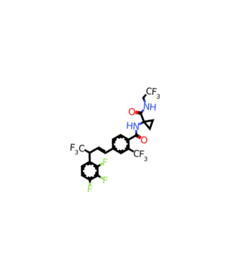 O=C(NC1(C(=O)NCC(F)(F)F)CC1)c1ccc(/C=C/C(c2ccc(F)c(F)c2F)C(F)(F)F)cc1C(F)(F)F